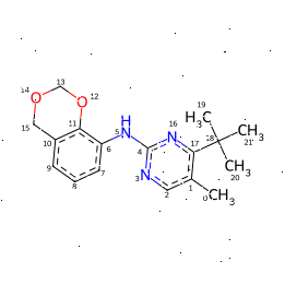 Cc1cnc(Nc2cccc3c2OCOC3)nc1C(C)(C)C